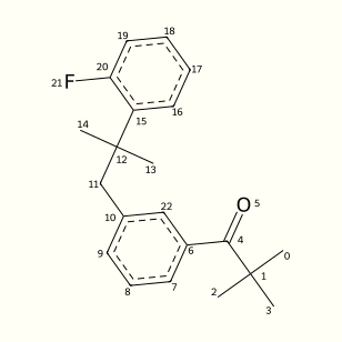 CC(C)(C)C(=O)c1cccc(CC(C)(C)c2ccccc2F)c1